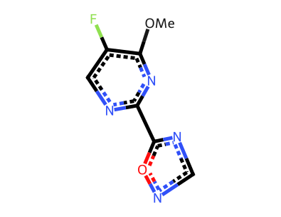 COc1nc(-c2ncno2)ncc1F